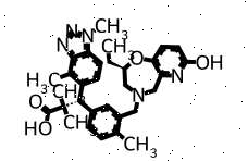 CC[C@@H]1CN(Cc2cc([C@@H](c3ccc4c(nnn4C)c3C)C(C)(C)C(=O)O)ccc2C)Cc2nc(O)ccc2O1